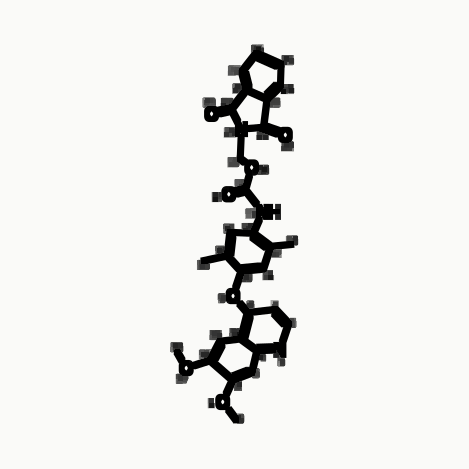 COc1cc2nccc(Oc3cc(C)c(NC(=O)OCN4C(=O)c5ccccc5C4=O)cc3C)c2cc1OC